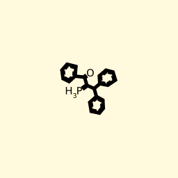 O=C(C(=[PH3])C(c1ccccc1)c1ccccc1)c1ccccc1